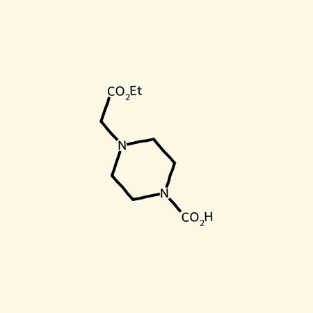 CCOC(=O)CN1CCN(C(=O)O)CC1